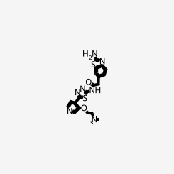 CN(C)CCOc1cnccc1-c1nnc(NC(=O)Cc2ccc3nc(N)sc3c2)s1